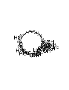 C[C@@H]1[C@H](O)[C@@H](C)/C=C/C=C/C=C/C=C/C=C/C=C/C=C/[C@H](O[C@@H]2O[C@H](C)[C@@H](O)[C@H](N)[C@@H]2O)CC2O[C@](O)(C[C@@H](O)C[C@@H](O)[C@H](O)CC[C@@H](O)C[C@@H](O)CC(=O)O[C@H]1C)C[C@H](O)[C@H]2C(=O)O